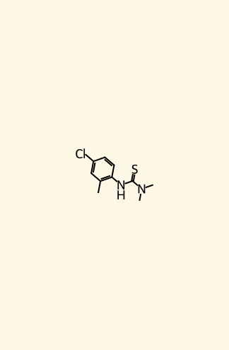 Cc1cc(Cl)ccc1NC(=S)N(C)C